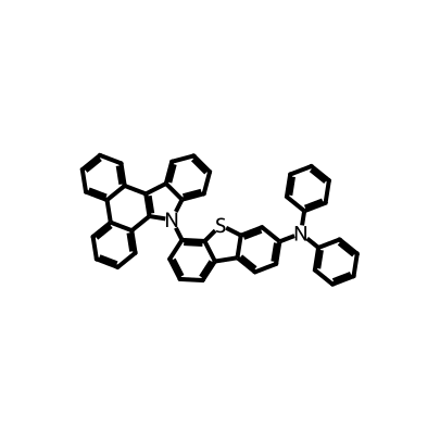 c1ccc(N(c2ccccc2)c2ccc3c(c2)sc2c(-n4c5ccccc5c5c6ccccc6c6ccccc6c54)cccc23)cc1